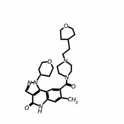 Cc1cc2[nH]c(=O)c3cnn(C4CCOCC4)c3c2cc1C(=O)N1CCN(CCC2CCOCC2)CC1